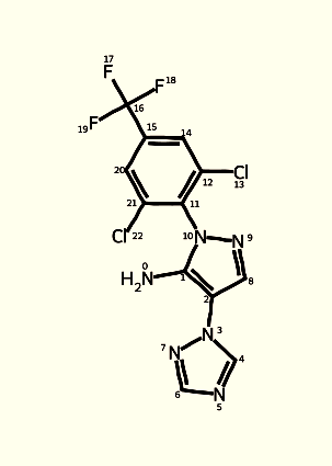 Nc1c(-n2cncn2)cnn1-c1c(Cl)cc(C(F)(F)F)cc1Cl